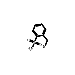 NS(=O)(=O)c1ccccc1CBr